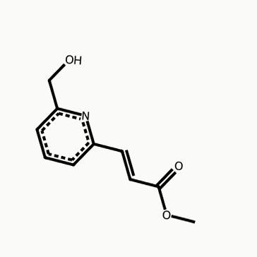 COC(=O)C=Cc1cccc(CO)n1